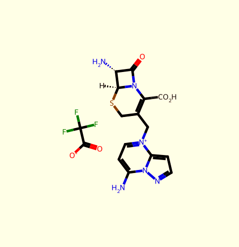 Nc1cc[n+](CC2=C(C(=O)O)N3C(=O)[C@@H](N)[C@@H]3SC2)c2ccnn12.O=C([O-])C(F)(F)F